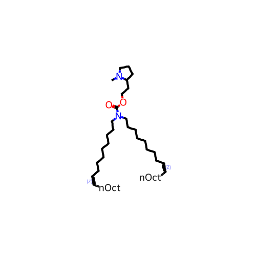 CCCCCCCC/C=C\CCCCCCCCN(CCCCCCCC/C=C\CCCCCCCC)C(=O)OCCC1CCCN1C